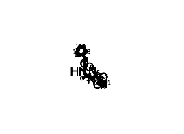 CC(NC(=O)OCc1ccccc1)c1ncn(S(=O)(=O)N(C)C)n1